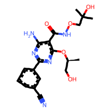 C[C@@H](CO)Oc1nc(-c2cccc(C#N)c2)nc(N)c1C(=O)NOCC(C)(C)O